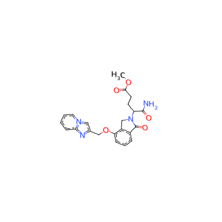 COC(=O)CCC(C(N)=O)N1Cc2c(OCc3cn4ccccc4n3)cccc2C1=O